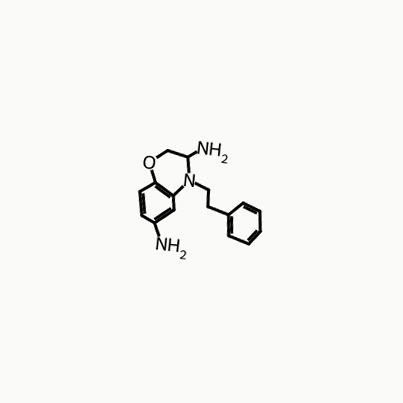 Nc1ccc2c(c1)N(CCc1ccccc1)C(N)CO2